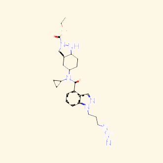 CCOC(=O)N1C=C2CC(N(C(=O)c3cccc4c3cnn4CCCN=[N+]=[N-])C3CC3)CCC2N1